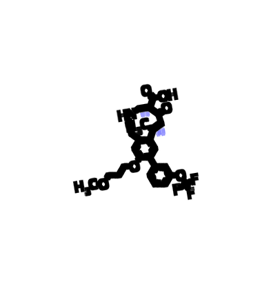 COCCCOc1cc2c(cc1-c1cccc(OC(F)(F)F)c1)/C(C)=C/C(=O)/C(C(=O)O)=C\NCC2